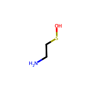 NCCSO